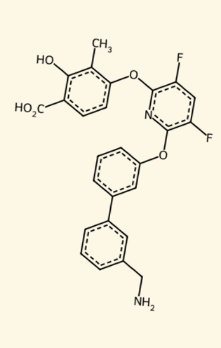 Cc1c(Oc2nc(Oc3cccc(-c4cccc(CN)c4)c3)c(F)cc2F)ccc(C(=O)O)c1O